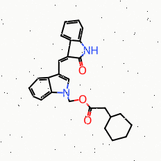 O=C(CC1CCCCC1)OCn1cc(C=C2C(=O)Nc3ccccc32)c2ccccc21